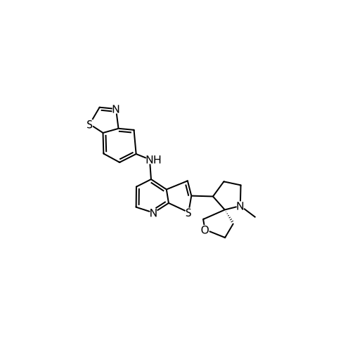 CN1CCC(c2cc3c(Nc4ccc5scnc5c4)ccnc3s2)[C@@]12CCOC2